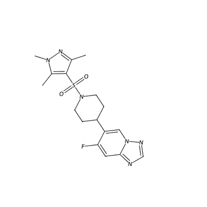 Cc1nn(C)c(C)c1S(=O)(=O)N1CCC(c2cn3ncnc3cc2F)CC1